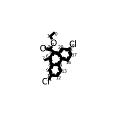 CCOC(=O)c1c(C)c2cc(Cl)ccc2c2ccc(Cl)cc12